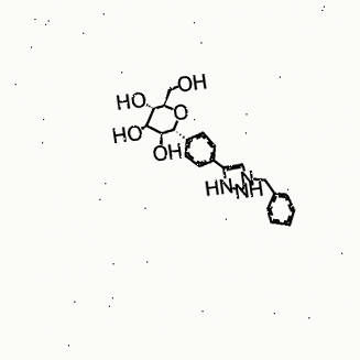 OC[C@H]1O[C@H](c2ccc(C3=CN(Cc4ccccc4)NN3)cc2)[C@@H](O)[C@@H](O)[C@@H]1O